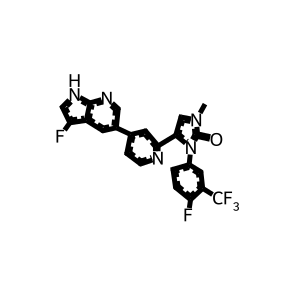 Cn1cc(-c2cc(-c3cnc4[nH]cc(F)c4c3)ccn2)n(-c2ccc(F)c(C(F)(F)F)c2)c1=O